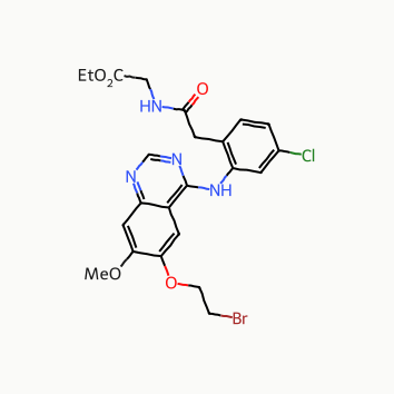 CCOC(=O)CNC(=O)Cc1ccc(Cl)cc1Nc1ncnc2cc(OC)c(OCCBr)cc12